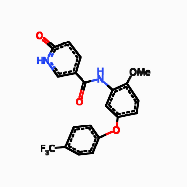 COc1ccc(Oc2ccc(C(F)(F)F)cc2)cc1NC(=O)c1ccc(=O)[nH]c1